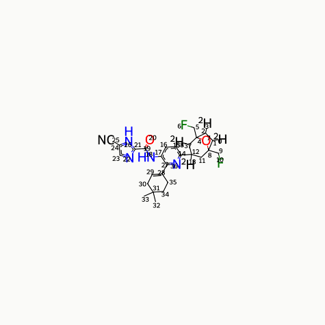 [2H]C1C([2H])C2(CF)OC1(CF)CC([2H])(c1ccc(NC(=O)c3ncc(C#N)[nH]3)c(C3=CCC(C)(C)CC3)n1)C2[2H]